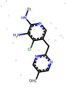 CCNc1ncc(Cc2ncc(C=O)cn2)c(Cl)c1N